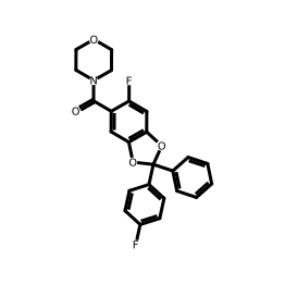 O=C(c1cc2c(cc1F)OC(c1ccccc1)(c1ccc(F)cc1)O2)N1CCOCC1